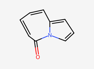 O=c1ccccc2cccn12